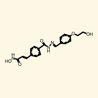 O=C(/C=C/c1ccc(C(=O)N/N=C/c2ccc(OCCO)cc2)cc1)NO